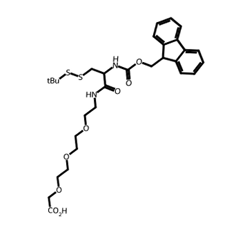 CC(C)(C)SSCC(NC(=O)OCC1c2ccccc2-c2ccccc21)C(=O)NCCOCCOCCOCC(=O)O